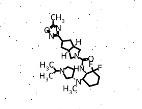 Cc1nc(C2C[C@@H]3CN(C(=O)N[C@@H]4[C@@H](N(C)[C@H]5CCN(C(C)C)C5)CCCC4(F)F)C[C@@H]3C2)no1